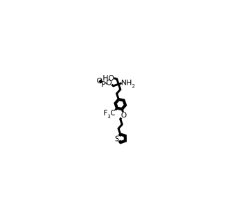 NC(CO)(CCc1ccc(OCCCc2cccs2)c(C(F)(F)F)c1)COP=O